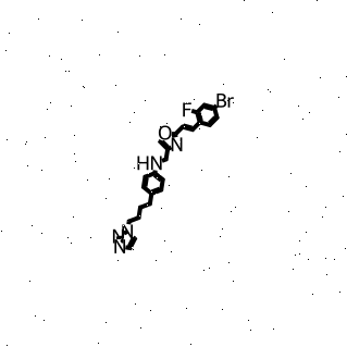 Fc1cc(Br)ccc1/C=C/c1nc(CNc2ccc(CCCCn3ccnn3)cc2)co1